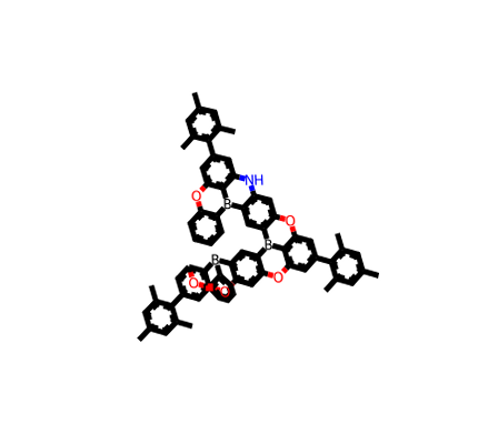 Cc1cc(C)c(-c2cc3c4c(c2)Oc2ccccc2B4c2cc4c(cc2N3)Oc2cc(-c3c(C)cc(C)cc3C)cc3c2B4c2cc4c(cc2O3)Oc2cc(-c3c(C)cc(C)cc3C)cc3c2B4c2ccccc2O3)c(C)c1